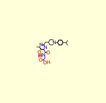 Cc1nc(CC2CCN(c3ccc(C(C)C)cc3)CC2)nc(C(=O)NCC(=O)O)c1O